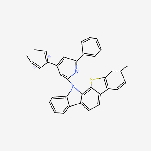 C/C=C\C(=C/C)c1cc(-c2ccccc2)nc(-n2c3ccccc3c3ccc4c5c(sc4c32)CC(C)C=C5)c1